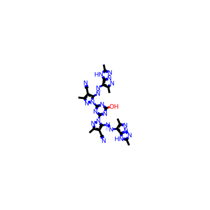 Cc1nn2nc(C)c(/N=N/c3c(C#N)c(C)nn3-c3nc(O)nc(-n4nc(C)c(C#N)c4/N=N/c4c(C)nn5nc(C)[nH]c45)n3)c2[nH]1